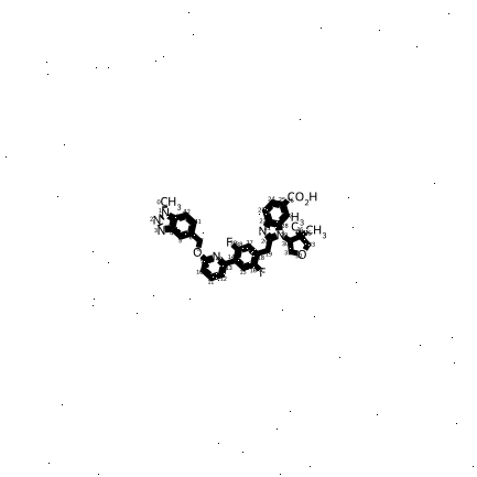 Cn1nnc2cc(COc3cccc(-c4cc(F)c(Cc5nc6ccc(C(=O)O)cc6n5C5COCC5(C)C)cc4F)n3)ccc21